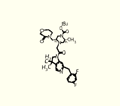 C[C@@H]1CN(CC(=O)N2CC(C)(C)c3cnc(Cc4ccc(F)cc4F)cc32)[C@@H](CN2CCOCC2=O)CN1C(=O)OC(C)(C)C